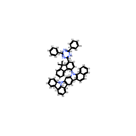 CC1(C)c2ccccc2-c2c(-n3c4cc5c(cc4c4ccc6ccccc6c43)c3cccc4c6ccccc6n5c43)ccc(-c3nc(-c4ccccc4)nc(-c4ccccc4)n3)c21